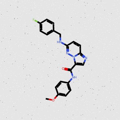 COc1ccc(NC(=O)c2cnc3ccc(NCc4ccc(F)cc4)nn23)cc1